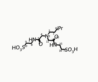 CC(C)CCN(CC(=O)NCCS(=O)(=O)O)CC(=O)NCCS(=O)(=O)O